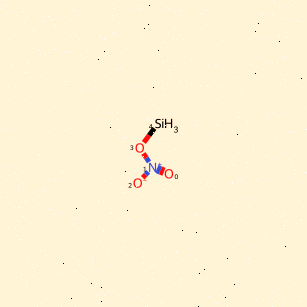 O=[N+]([O-])O[SiH3]